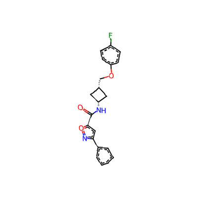 O=C(N[C@H]1C[C@@H](COc2ccc(F)cc2)C1)c1cc(-c2ccccc2)no1